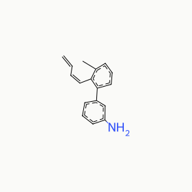 C=C/C=C\c1c(C)cccc1-c1cccc(N)c1